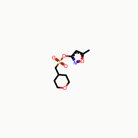 Cc1cc(OS(=O)(=O)CC2CCOCC2)no1